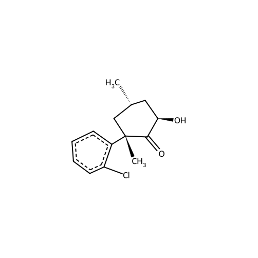 C[C@@H]1C[C@@H](O)C(=O)[C@](C)(c2ccccc2Cl)C1